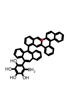 Bc1c(O)c(O)c(O)c(O)c1C1=CC2C=CC=CC2=C(c2cccc3ccc(-c4ccccc4-c4c(SC)ccc5ccccc45)cc23)c2ccccc21